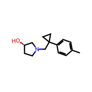 Cc1ccc(C2(CN3CC[C@@H](O)C3)CC2)cc1